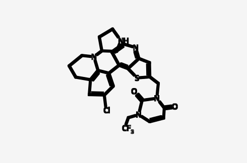 O=c1ccn(CC(F)(F)F)c(=O)n1Cc1cc2nccc(-c3cc(Cl)cc4c3N(C3CCNC3)CCC4)c2s1